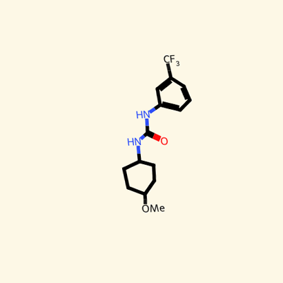 COC1CCC(NC(=O)Nc2cccc(C(F)(F)F)c2)CC1